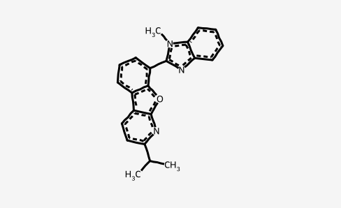 CC(C)c1ccc2c(n1)oc1c(-c3nc4ccccc4n3C)cccc12